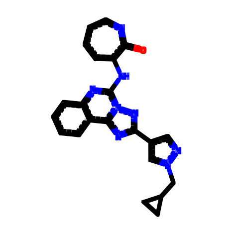 O=c1nccccc1Nc1nc2ccccc2c2nc(-c3cnn(CC4CC4)c3)nn12